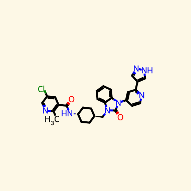 Cc1ncc(Cl)cc1C(=O)N[C@H]1CC[C@H](Cn2c(=O)n(-c3ccnc(-c4cn[nH]c4)c3)c3ccccc32)CC1